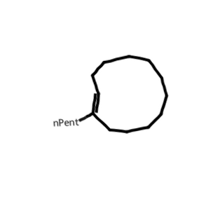 CCCCC/C1=C\CCCCCCCCCC1